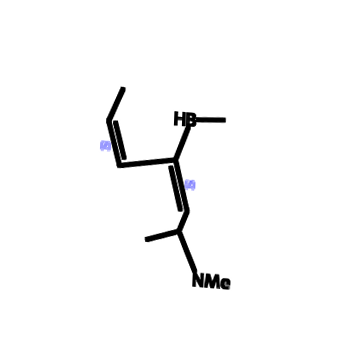 CBC(/C=C\C)=C/C(C)NC